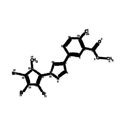 COC(=O)c1cc(-c2cnn(-c3c(Br)c(Br)c(Br)n3C)c2)ccc1Cl